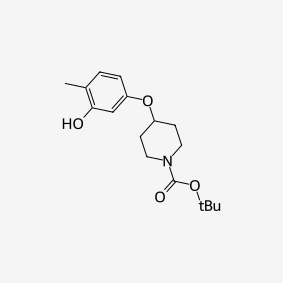 Cc1ccc(OC2CCN(C(=O)OC(C)(C)C)CC2)cc1O